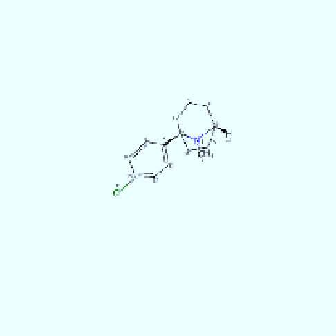 CN1[C@@H]2CCC[C@@]1(c1ccc(Cl)cc1)CC2